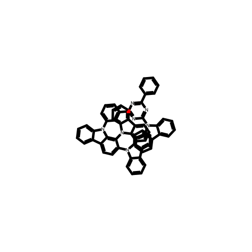 c1ccc(-c2nc(-c3cccc(-n4c5ccccc5c5ccc(-n6c7ccccc7c7ccccc76)c(-n6c7ccccc7c7ccccc76)c54)c3)nc(-n3c4ccccc4c4ccccc43)n2)cc1